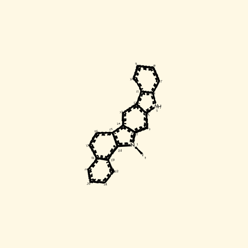 In1c2cc3[nH]c4ccccc4c3cc2c2ccc3ccccc3c21